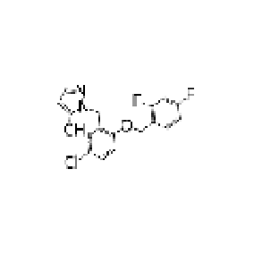 Cc1ccnn1Cc1cc(Cl)ccc1OCc1ccc(F)cc1F